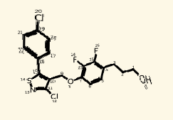 OCCCc1ccc(OCc2c(Cl)nsc2-c2ccc(Cl)cc2)c(F)c1F